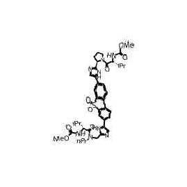 CCCN(Cc1ncc(-c2ccc3c(c2)S(=O)(=O)c2cc(-c4cnc([C@H]5CCCN5C(=O)[C@H](NC(=O)OC)C(C)C)[nH]4)ccc2-3)[nH]1)C(=O)[C@H](NC(=O)OC)C(C)C